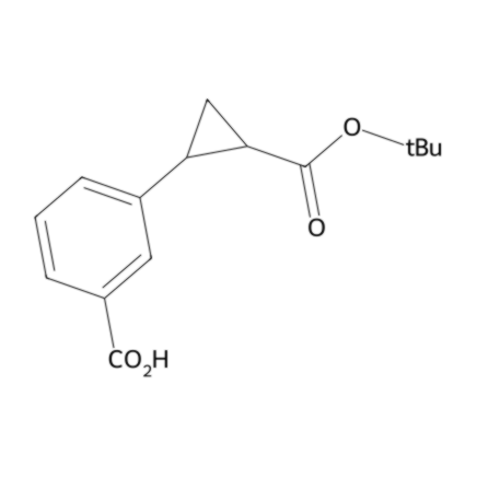 CC(C)(C)OC(=O)C1CC1c1cccc(C(=O)O)c1